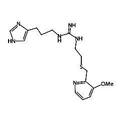 COc1cccnc1CSCCNC(=N)NCCCc1c[nH]cn1